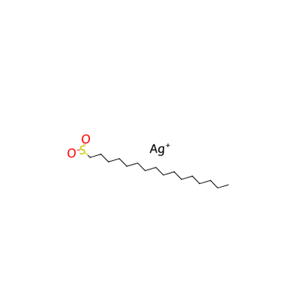 CCCCCCCCCCCCCCCCS(=O)[O-].[Ag+]